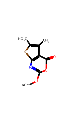 CCCCCCCCOc1nc2sc(C(=O)O)c(C)c2c(=O)o1